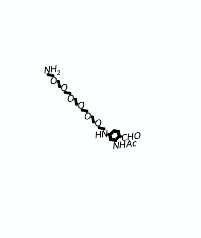 CC(=O)Nc1cc(NCCOCCOCCOCCOCCOCCOCCN)ccc1C=O